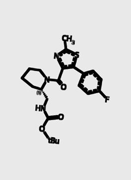 Cc1nc(C(=O)N2CCCC[C@H]2CNC(=O)OC(C)(C)C)c(-c2ccc(F)cc2)s1